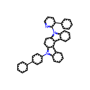 c1ccc(-c2ccc(-n3c4ccccc4c4c5c6ccccc6n(-c6ncccc6-c6ccccc6)c5ccc43)cc2)cc1